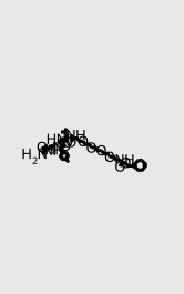 Cc1ccc(NC(=O)[C@H](CCCNC(N)=O)NC(=O)[C@@H](NC(=O)CCOCCOCCOCCOCCNC(=O)OCC2C3CCC#CCCC32)C(C)C)cc1